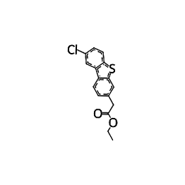 CCOC(=O)Cc1ccc2c(c1)sc1ccc(Cl)cc12